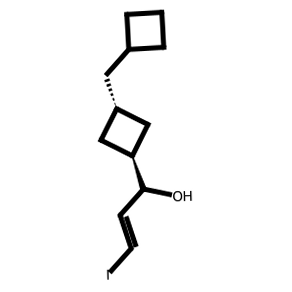 OC(C=CI)[C@H]1C[C@H](CC2CCC2)C1